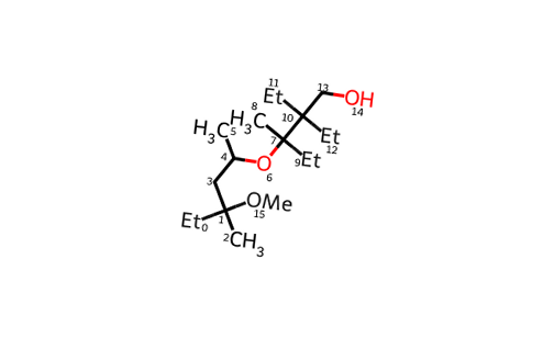 CCC(C)(CC(C)OC(C)(CC)C(CC)(CC)CO)OC